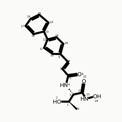 C[C@@H](O)[C@H](NC(=O)C=Cc1ccc(-c2ccccc2)cc1)C(=O)NO